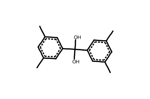 Cc1cc(C)cc(C(O)(O)c2cc(C)cc(C)c2)c1